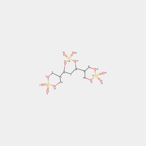 O=S1(=O)OCC(C2CC(C3COS(=O)(=O)OC3)OS(=O)(=O)O2)CO1